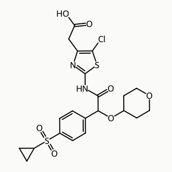 O=C(O)Cc1nc(NC(=O)C(OC2CCOCC2)c2ccc(S(=O)(=O)C3CC3)cc2)sc1Cl